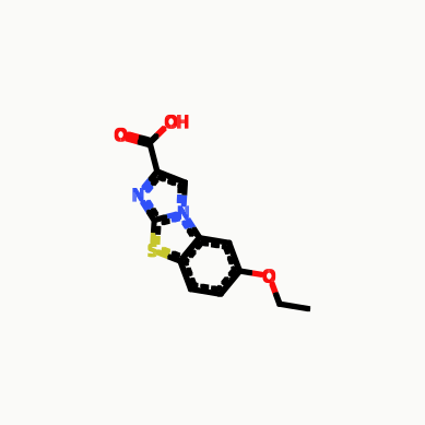 CCOc1ccc2sc3nc(C(=O)O)cn3c2c1